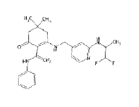 C=C(Nc1ccccc1)C1=C(NCc2ccnc(NC(C)C(F)F)c2)CC(C)(C)CC1=O